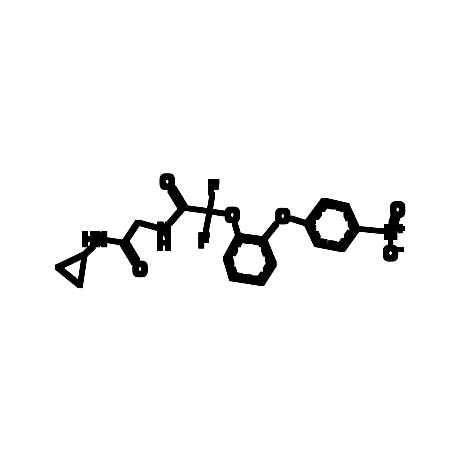 O=C(CNC(=O)C(F)(F)Oc1ccccc1Oc1ccc([N+](=O)[O-])cc1)NC1CC1